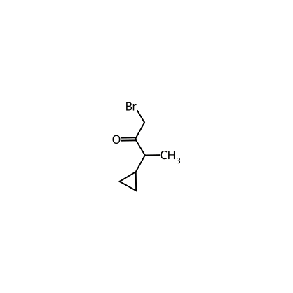 CC(C(=O)CBr)C1CC1